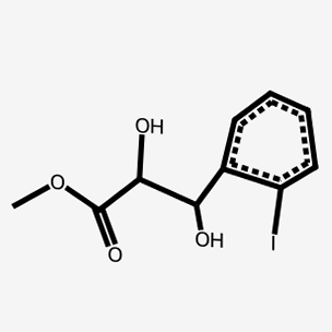 COC(=O)C(O)C(O)c1ccccc1I